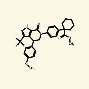 COC(=O)C1(c2ccc(N3CC(c4ccc(OC)cc4)c4c(C(F)(F)F)n[nH]c4C3=O)cc2)CCCCC1